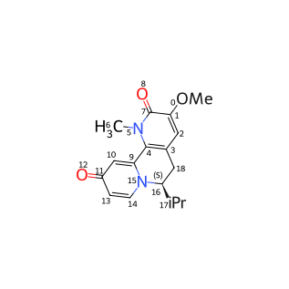 COc1cc2c(n(C)c1=O)-c1cc(=O)ccn1[C@H](C(C)C)C2